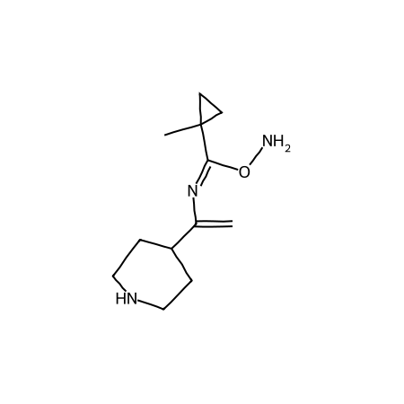 C=C(/N=C(\ON)C1(C)CC1)C1CCNCC1